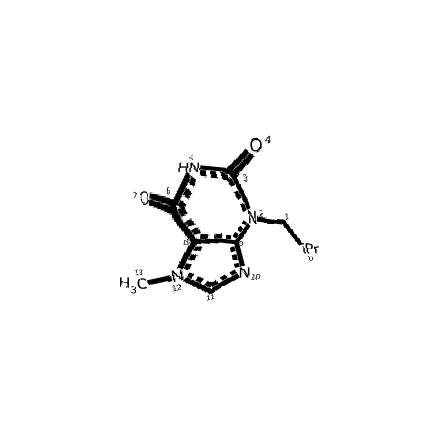 CC(C)Cn1c(=O)[nH]c(=O)c2c1ncn2C